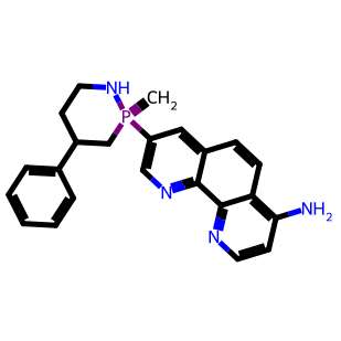 C=P1(c2cnc3c(ccc4c(N)ccnc43)c2)CC(c2ccccc2)CCN1